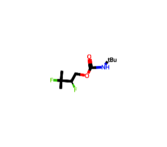 CC(C)(C)NC(=O)OC[C@@H](F)C(C)(C)F